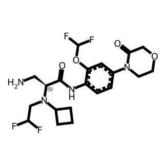 NC[C@@H](C(=O)Nc1ccc(N2CCOCC2=O)cc1OC(F)F)N(CC(F)F)C1CCC1